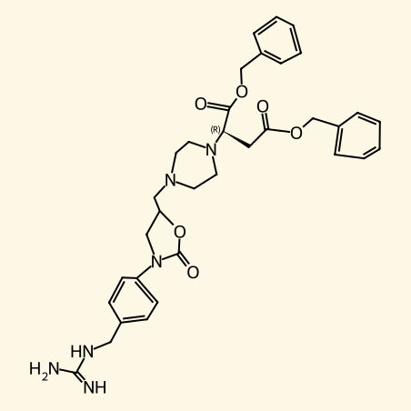 N=C(N)NCc1ccc(N2CC(CN3CCN([C@H](CC(=O)OCc4ccccc4)C(=O)OCc4ccccc4)CC3)OC2=O)cc1